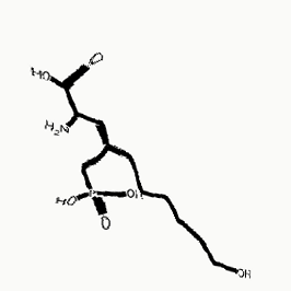 NC(/C=C(/CCCCCCO)CP(=O)(O)O)C(=O)O